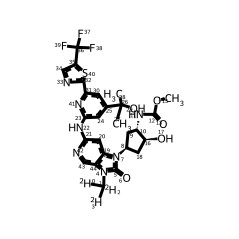 [2H]C([2H])([2H])n1c(=O)n([C@H]2C[C@H](NC(=O)OC)[C@@H](O)C2)c2cc(Nc3cc(C(C)(C)O)cc(-c4ncc(C(F)(F)F)s4)n3)ncc21